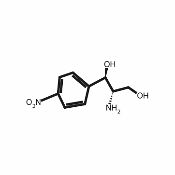 N[C@@H](CO)[C@H](O)c1ccc([N+](=O)[O-])cc1